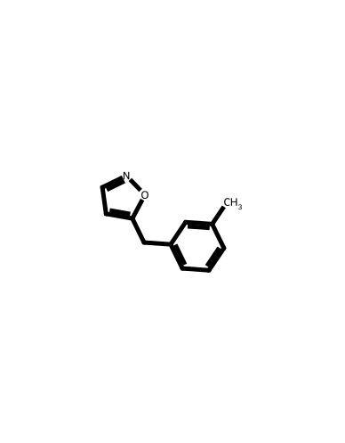 Cc1cccc(Cc2ccno2)c1